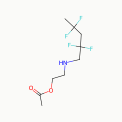 CC(=O)OCCNCC(F)(F)CC(C)(F)F